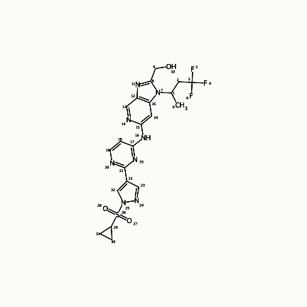 CC(CC(F)(F)F)n1c(CO)nc2cnc(Nc3ccnc(-c4cnn(S(=O)(=O)C5CC5)c4)n3)cc21